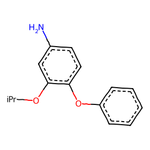 CC(C)Oc1cc(N)ccc1Oc1ccccc1